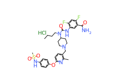 CCCCN(C(=O)Nc1cc(C(N)=O)c(F)cc1F)C1CCN(Cc2ccc(Oc3ccc(NS(C)(=O)=O)cc3)nc2C)CC1.Cl